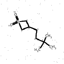 CC(C)(C)CCC1CS(=O)(=O)C1